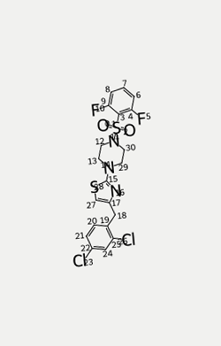 O=S(=O)(c1c(F)cccc1F)N1CCN(c2nc(Cc3ccc(Cl)cc3Cl)cs2)CC1